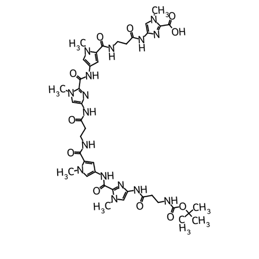 Cn1cc(NC(=O)c2nc(NC(=O)CCNC(=O)c3cc(NC(=O)c4nc(NC(=O)CCNC(=O)OC(C)(C)C)cn4C)cn3C)cn2C)cc1C(=O)NCCC(=O)Nc1cn(C)c(C(=O)O)n1